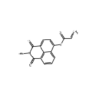 C=CC(=O)Oc1ccc2c3c(cccc13)C(=O)N(CCCC)C2=O